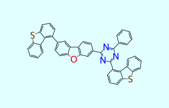 c1ccc(-c2nc(-c3ccc4c(c3)oc3ccc(-c5cccc6sc7ccccc7c56)cc34)nc(-c3cccc4sc5ccccc5c34)n2)cc1